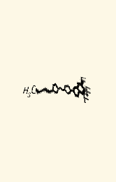 CCCCCC1CCC(CCC2CCC(c3ccc4c(F)c(F)c(F)cc4c3)CC2)CC1